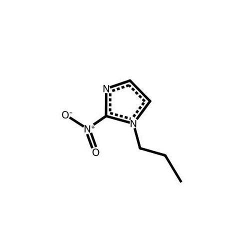 CCCn1ccnc1[N+](=O)[O-]